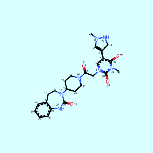 CN1C=C(c2cn(CC(=O)N3CCC(N4CCc5ccccc5NC4=O)CC3)c(=O)n(C)c2=O)CN1